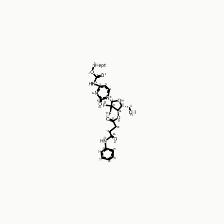 CCCCCCCOC(=O)Nc1ccn([C@@H]2O[C@H](CO)[C@@H](OC(=O)CCC(=O)Nc3ccccc3)C2(F)F)c(=O)n1